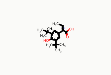 C/C=C(/C(=O)O)c1cc(C(C)(C)C)c(O)c(C(C)(C)C)c1